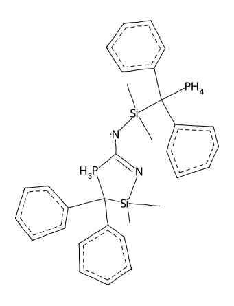 C[Si](C)([N]C1=N[Si](C)(C)C(c2ccccc2)(c2ccccc2)[PH3]1)C([PH4])(c1ccccc1)c1ccccc1